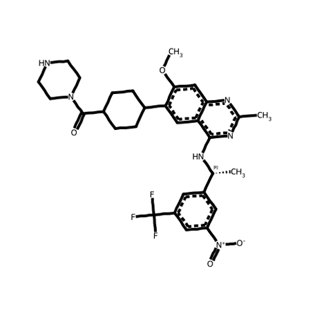 COc1cc2nc(C)nc(N[C@H](C)c3cc([N+](=O)[O-])cc(C(F)(F)F)c3)c2cc1C1CCC(C(=O)N2CCNCC2)CC1